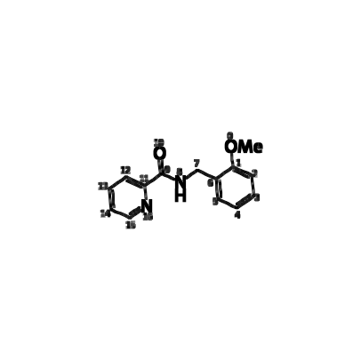 COc1ccccc1CNC(=O)c1ccccn1